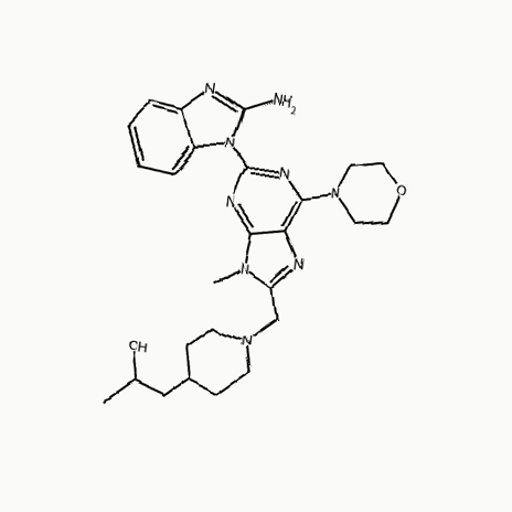 CC(O)CC1CCN(Cc2nc3c(N4CCOCC4)nc(-n4c(N)nc5ccccc54)nc3n2C)CC1